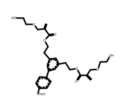 C=C(COCCO)C(=O)OCCc1cc(CCOC(=O)C(=C)COCCO)cc(-c2ccc(CCCCC)cc2)c1